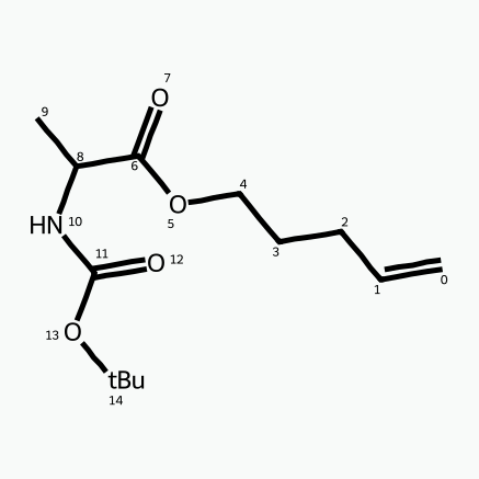 C=CCCCOC(=O)C(C)NC(=O)OC(C)(C)C